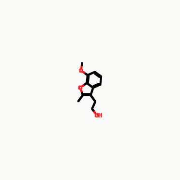 COc1cccc2c(CCO)c(C)oc12